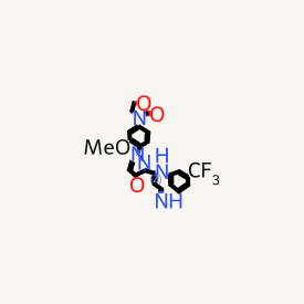 COc1cc(N2CCOC2=O)ccc1-n1ccc(=O)c(/C(=C/C=N)Nc2cccc(C(F)(F)F)c2)n1